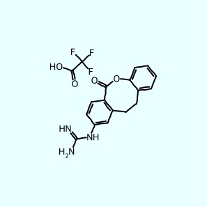 N=C(N)Nc1ccc2c(c1)CCc1ccccc1OC2=O.O=C(O)C(F)(F)F